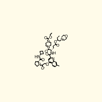 CCOC(=O)N1CCN(C(=O)[C@H](CCC(=O)OC(CC)CN2CCOCC2)NC(=O)c2cc(OCC(=O)N3CCC[C@H]3C(=O)NC3CCC3)c3ccc(C)cc3n2)CC1